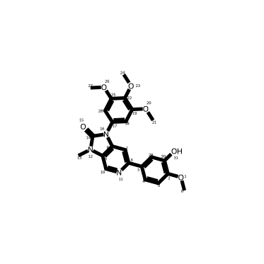 COc1ccc(-c2cc3c(cn2)n(C)c(=O)n3-c2cc(OC)c(OC)c(OC)c2)cc1O